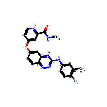 CNC(=O)c1cc(Oc2ccc3nnc(Nc4ccc(Cl)c(C)c4)nc3c2)ccn1